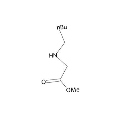 CCCCCNCC(=O)OC